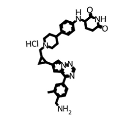 Cc1cc(-c2ncnn3cc(C4CC4CN4CCC(c5ccc(NC6CCC(=O)NC6=O)cc5)CC4)cc23)ccc1CN.Cl